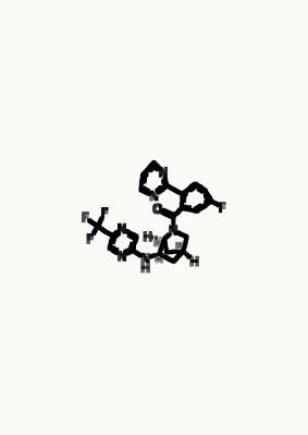 O=C(c1cc(F)ccc1-c1ncccn1)N1C[C@@H]2C[C@@H](Nc3cnc(C(F)(F)F)cn3)[C@@H]1C2